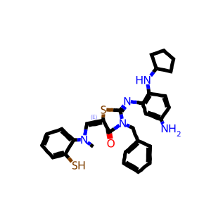 CN(/C=C1/SC(=Nc2cc(N)ccc2NC2CCCC2)N(Cc2ccccc2)C1=O)c1ccccc1S